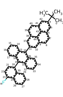 CC(C)(C)c1cc2ccc3cc(-c4c5ccccc5c(-c5ccc(F)c6ccccc56)c5ccccc45)cc4ccc(c1)c2c34